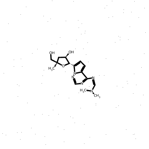 CN(C)/C=N\c1ncnn2c([C@@H]3O[C@](C)(CO)C[C@H]3O)ccc12